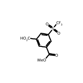 COC(=O)c1cc(C(=O)O)cc(S(=O)(=O)C(F)(F)F)c1